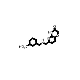 O=C1CSc2ccc(CNCC3CCCC(C(=O)O)C3)nc2N1